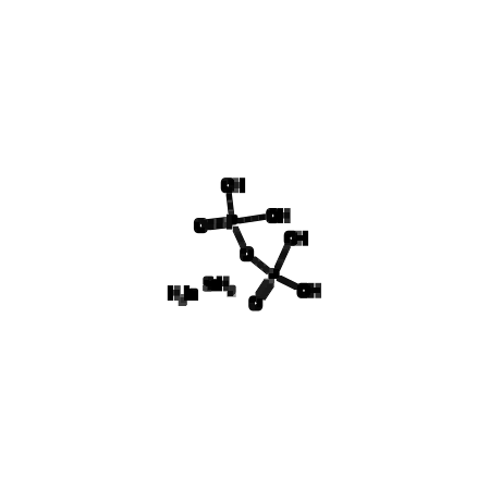 O=P(O)(O)OP(=O)(O)O.[InH3].[SrH2]